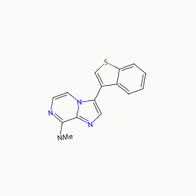 CNc1nccn2c(-c3csc4ccccc34)cnc12